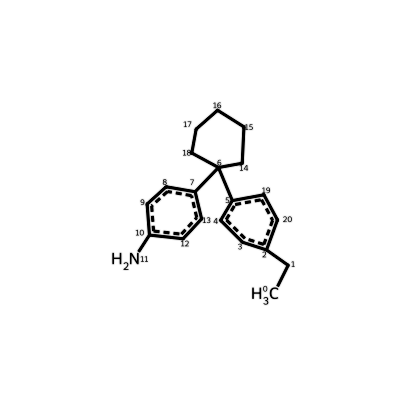 CCc1ccc(C2(c3ccc(N)cc3)CCCCC2)cc1